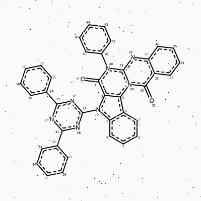 O=c1c2c(c3ccccc3n2-c2nc(-c3ccccc3)nc(-c3ccccc3)n2)n2c(=O)c3ccccc3nc2n1-c1ccccc1